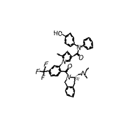 Cc1cc(C(=O)N(c2ccccc2)c2ccc(O)cc2)cn1-c1cc(C(F)(F)F)ccc1C(=O)N1Cc2ccccc2C[C@H]1CN(C)C